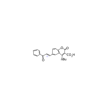 CCCCc1c(C(=O)O)c(=O)oc2ccc(/C=C/C(=O)c3ccccc3)cc12